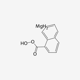 O=C(OO)c1cccc2ccccc12.[MgH2]